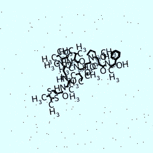 CCC(C)[C@@H](C(CC(=O)N1CCC[C@H]1[C@H](OC)[C@@H](C)C(=O)N[C@H](C)[C@@H](O)c1ccccc1)OC)N(C)C(=O)[C@@H](NC(=O)[C@H](C(C)C)N(C)C(=O)CCNC(=O)C(C)NC(=O)C1=CSC(C)C(C)S1)C(C)C